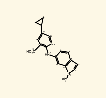 CCCn1ccc2ccc(Nc3ncc(C4CC4)cc3C(=O)O)cc21